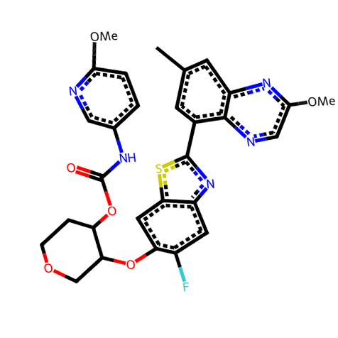 COc1ccc(NC(=O)OC2CCOCC2Oc2cc3sc(-c4cc(C)cc5nc(OC)cnc45)nc3cc2F)cn1